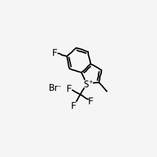 Cc1cc2ccc(F)cc2[s+]1C(F)(F)F.[Br-]